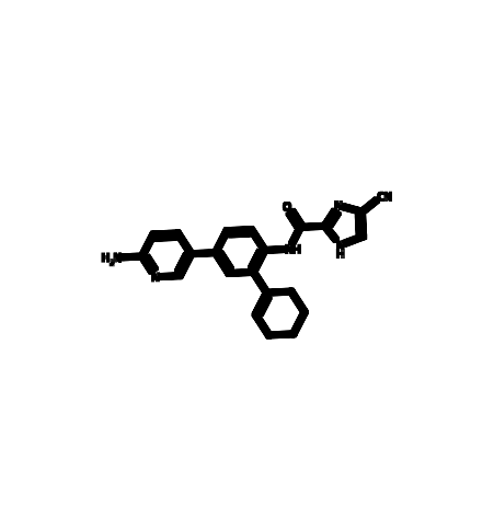 N#Cc1c[nH]c(C(=O)Nc2ccc(-c3ccc(N)nc3)cc2C2=CCCCC2)n1